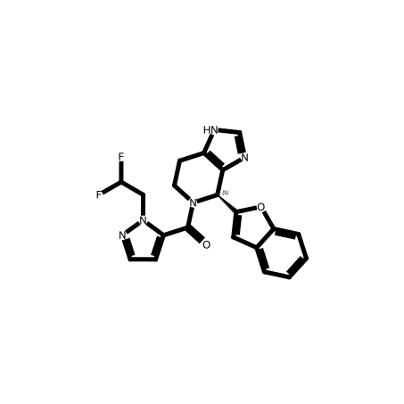 O=C(c1ccnn1CC(F)F)N1CCc2[nH]cnc2[C@H]1c1cc2ccccc2o1